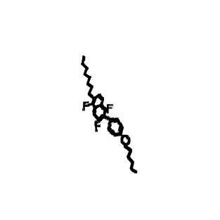 CCCCCCCCc1ccc2c(F)c(-c3ccc(OCCCCCC)cc3)c(F)cc2c1F